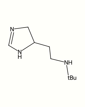 CC(C)(C)NCCC1CN=CN1